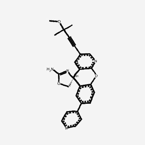 COC(C)(C)C#Cc1cnc2c(c1)[C@@]1(COC(N)=N1)c1cc(-c3ccncc3)ccc1O2